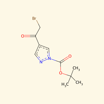 CC(C)(C)OC(=O)n1cc(C(=O)CBr)cn1